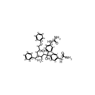 CC(CC(O)(c1ccc(NC(N)=O)cc1)c1ccc(NC(N)=O)cc1)N(Cc1ccccc1)C[C@H](O)COc1ccccc1